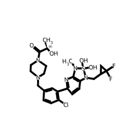 C[C@@H](O)C(=O)N1CCN(Cc2ccc(Cl)c(-c3ccc4c(n3)N(C)S(O)(O)N4CC3CC3(F)F)c2)CC1